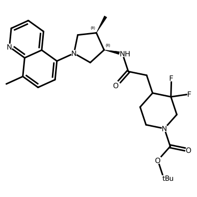 Cc1ccc(N2C[C@@H](C)[C@@H](NC(=O)CC3CCN(C(=O)OC(C)(C)C)CC3(F)F)C2)c2cccnc12